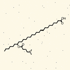 CCCCCCC(CCCCCCCCCCC=CCCCCCCCC(=O)O)OC(=O)CCCN(C)C